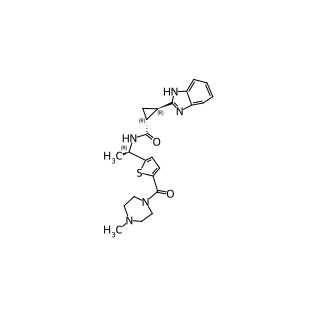 C[C@@H](NC(=O)[C@@H]1C[C@H]1c1nc2ccccc2[nH]1)c1ccc(C(=O)N2CCN(C)CC2)s1